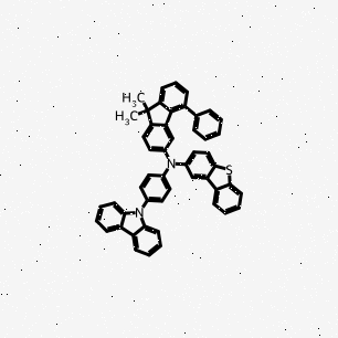 CC1(C)c2ccc(N(c3ccc(-n4c5ccccc5c5ccccc54)cc3)c3ccc4sc5ccccc5c4c3)cc2-c2c(-c3ccccc3)cccc21